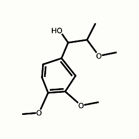 COc1ccc(C(O)C(C)OC)cc1OC